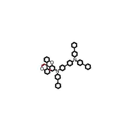 c1ccc(-c2ccc(N(c3ccc(-c4ccccc4)cc3)c3ccc(-c4ccc(N(c5ccc(-c6ccccc6)cc5)c5ccc6c(c5)Oc5ccccc5C65c6ccccc6Oc6ccccc65)cc4)cc3)cc2)cc1